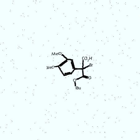 CCC(C)OC(=O)C(Br)(C(=O)O)c1ccc(OC)c(OC)c1